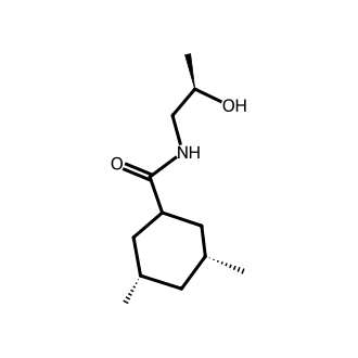 C[C@@H]1CC(C(=O)NC[C@@H](C)O)C[C@H](C)C1